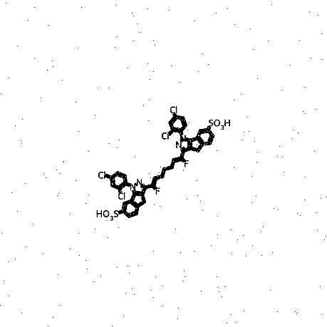 O=S(=O)(O)c1ccc2c(c1)-c1c(c(/C(F)=C/CCC/C=C(\F)c3nn(-c4ccc(Cl)cc4Cl)c4c3Cc3ccc(S(=O)(=O)O)cc3-4)nn1-c1ccc(Cl)cc1Cl)C2